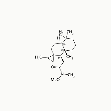 CON(C)C(=O)C[C@H]1C2(CC[C@H]3C(C)(C)CCC[C@@]31C)CC2C